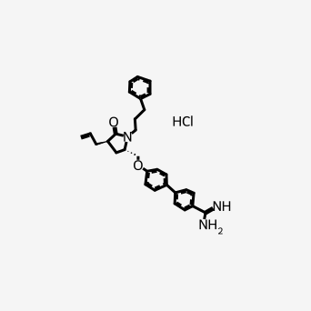 C=CC[C@@H]1C[C@@H](COc2ccc(-c3ccc(C(=N)N)cc3)cc2)N(CCCc2ccccc2)C1=O.Cl